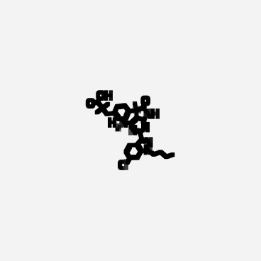 CCCCn1nc(-c2nc(N)c3c(n2)NC(=O)[C@@]3(C)c2ccc(CC(C)(C)C(=O)O)cc2)c2ccc(Cl)cc21